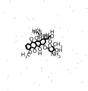 COc1cccc2c1C(=O)c1c(O)c3c(c(O)c1C2=O)C[C@@](O)(C(=O)CO)C[C@@H]3O[C@H]1C[C@H](N)[C@H](O)[C@H](C)O1.Cl.Cl.[MgH2]